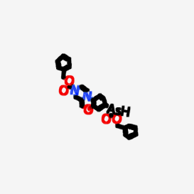 O=C(OCc1ccccc1)[AsH]c1ccc2c(c1)OC=C1CN(C(=O)OCc3ccccc3)C=CN12